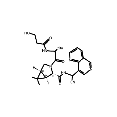 CC(C)(C)C(NC(=O)CCO)C(=O)N1C[C@H]2[C@@H]([C@H]1C(=O)NC(C#N)c1cncc3cccnc13)C2(C)C